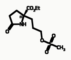 CCOC(=O)[C@]1(CCCOS(C)(=O)=O)CCC(=O)N1